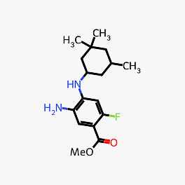 COC(=O)c1cc(N)c(NC2CC(C)CC(C)(C)C2)cc1F